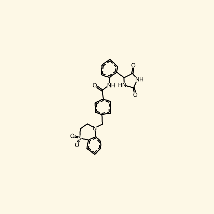 O=C1NC(=O)C(c2ccccc2NC(=O)c2ccc(CN3CCS(=O)(=O)c4ccccc43)cc2)N1